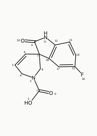 O=C(O)N1CC=CC2(C1)C(=O)Nc1ccc(F)cc12